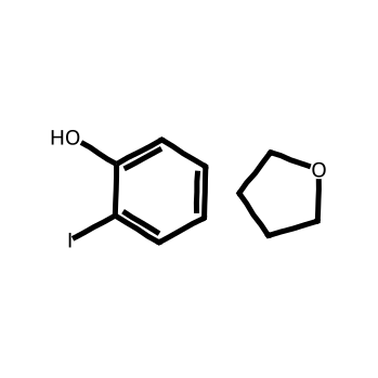 C1CCOC1.Oc1ccccc1I